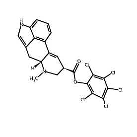 CN1C[C@H](C(=O)Oc2c(Cl)c(Cl)c(Cl)c(Cl)c2Cl)C=C2c3cccc4[nH]cc(c34)C[C@H]21